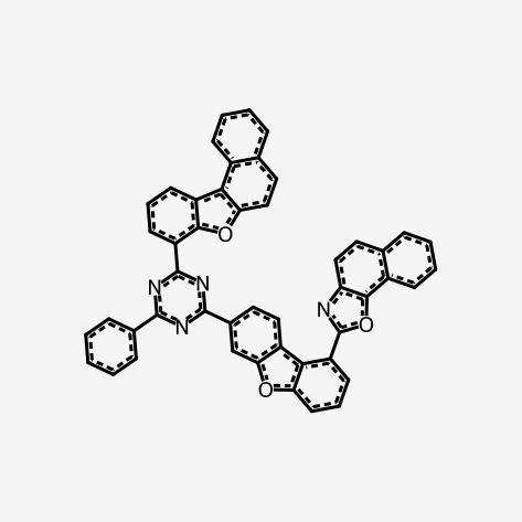 c1ccc(-c2nc(-c3ccc4c(c3)oc3cccc(-c5nc6ccc7ccccc7c6o5)c34)nc(-c3cccc4c3oc3ccc5ccccc5c34)n2)cc1